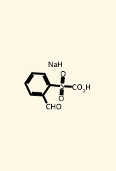 O=Cc1ccccc1S(=O)(=O)C(=O)O.[NaH]